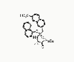 CCCCOC(=O)[C@H](C)NP(=O)(Cc1ccc2ccc(C(=O)O)cc2c1)Oc1cccc2ccccc12